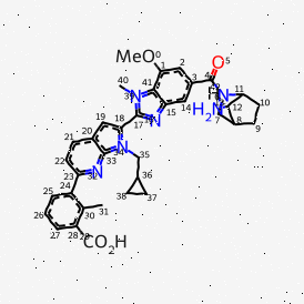 COc1cc(C(=O)N2CC3CCC2[C@@H]3N)cc2nc(-c3cc4ccc(-c5cccc(C(=O)O)c5C)nc4n3CC3CC3)n(C)c12